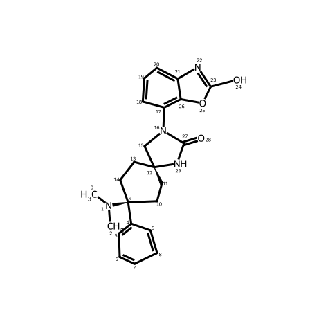 CN(C)[C@]1(c2ccccc2)CC[C@@]2(CC1)CN(c1cccc3nc(O)oc13)C(=O)N2